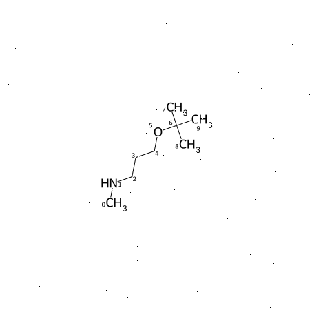 CNCCCOC(C)(C)C